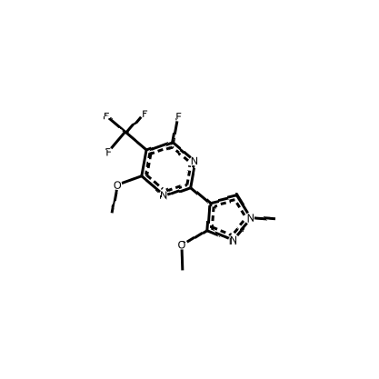 COc1nn(C)cc1-c1nc(F)c(C(F)(F)F)c(OC)n1